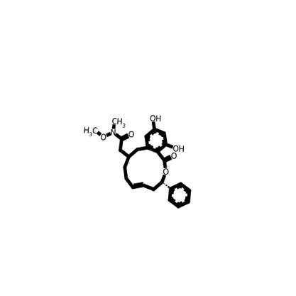 CON(C)C(=O)CC1CC/C=C/C[C@@H](c2ccccc2)OC(=O)c2c(O)cc(O)cc2C1